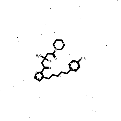 Cc1ccc(CCCCCc2ccsc2C(=O)CC(C)(C)CC(=O)N2CCCCC2)cc1